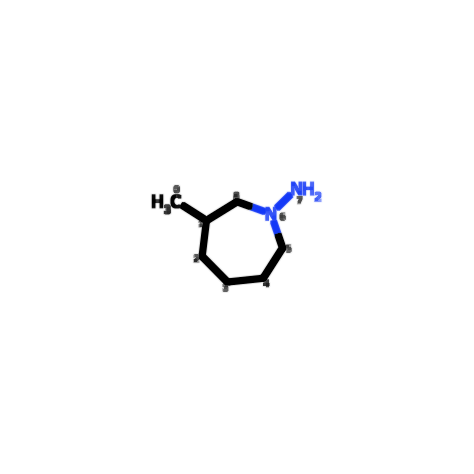 CC1CCCCN(N)C1